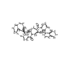 O=c1c2cc3[nH]c4c(-c5cccc6ccccc56)cccc4c(=O)c3cc2[nH]c2c(-c3cccc4ccccc34)cccc12